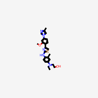 CCN(CCO)c1ccc(Nc2nc(-c3ccc(-n4cnc(C)c4)cc3OC)cs2)c(C)c1